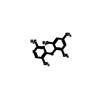 Cc1cc(C)c(Oc2nc(C)n[c]c2C)c(C)c1